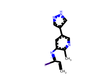 C=C/C(I)=N\c1cc(-c2cn[nH]c2)cnc1C